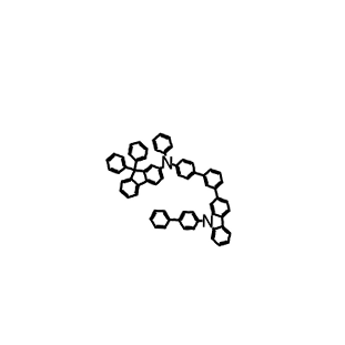 c1ccc(-c2ccc(-n3c4ccccc4c4ccc(-c5cccc(-c6ccc(N(c7ccccc7)c7ccc8c(c7)C(c7ccccc7)(c7ccccc7)c7ccccc7-8)cc6)c5)cc43)cc2)cc1